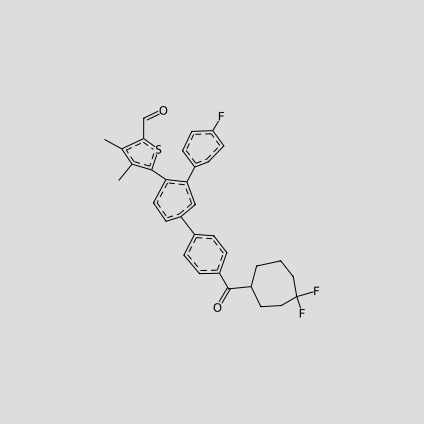 Cc1c(C=O)sc(-c2ccc(-c3ccc(C(=O)C4CCCC(F)(F)CC4)cc3)cc2-c2ccc(F)cc2)c1C